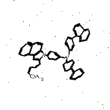 C/C=C\C=C/c1cc2c3ccccc3ccc2n1-c1ccc(N(c2ccc(-c3ccccc3)cc2)c2ccc(-c3cccc4ccccc34)cc2)cc1